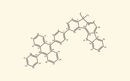 CC1(C)c2ccc(-c3ccc(-c4c5ccccc5c(-c5ccccc5)c5ccccc45)cc3)cc2-c2c1ccc1c2sc2ccccc21